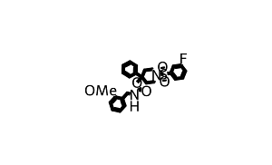 COc1ccccc1CNC(=O)OC1(c2ccccc2)CCN(S(=O)(=O)c2cccc(F)c2)CC1